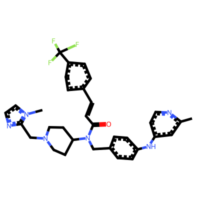 Cc1cc(Nc2ccc(CN(C(=O)C=Cc3ccc(C(F)(F)F)cc3)C3CCN(Cc4nccn4C)CC3)cc2)ccn1